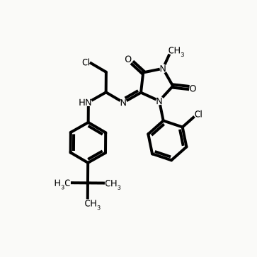 CN1C(=O)C(=NC(CCl)Nc2ccc(C(C)(C)C)cc2)N(c2ccccc2Cl)C1=O